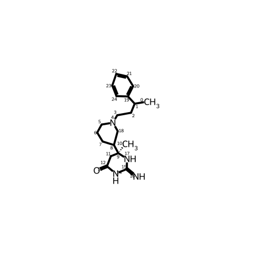 CC(CCN1CCCC([C@]2(C)CC(=O)NC(=N)N2)C1)c1ccccc1